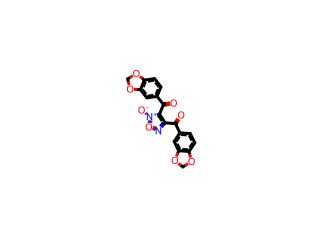 O=C(c1ccc2c(c1)OCO2)c1no[n+]([O-])c1C(=O)c1ccc2c(c1)OCO2